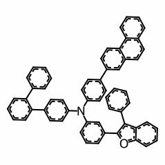 c1ccc(-c2ccccc2-c2ccc(N(c3ccc(-c4ccc5c(ccc6ccccc65)c4)cc3)c3cccc(-c4oc5ccccc5c4-c4ccccc4)c3)cc2)cc1